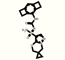 NS(=O)(=NC(=O)Nc1c2c(cc3c1CC3)CC2)c1cnn2c1OCC1(CC1)C2